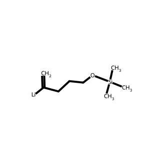 [Li][C](=C)CCCO[Si](C)(C)C